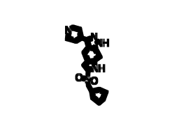 O=S(=O)(Cc1ccccc1)c1cc2cc3c(-c4ccncc4)n[nH]c3cc2[nH]1